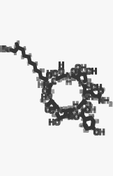 CCC(C)CC(C)CCCCCCCCC(=O)N[C@H]1C[C@H](O)[C@@H](O)NC(=O)[C@@H]2[C@@H](O)[C@@H](O)CN2C(=O)[C@H]([C@H](O)CC(N)=O)NC(=O)[C@H](C(O)[C@H](O)c2ccc(O)cc2)NC(=O)[C@@H]2C[C@@H](O)CN2C(=O)[C@H]([C@@H](C)O)NC1=O